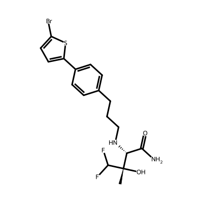 C[C@@](O)(C(F)F)[C@H](NCCCc1ccc(-c2ccc(Br)s2)cc1)C(N)=O